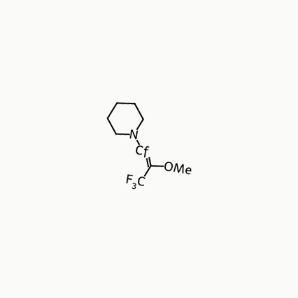 CO[C](=[Cf][N]1CCCCC1)C(F)(F)F